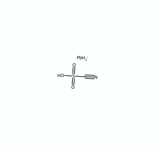 N#CS(=O)(=O)O.[PbH2]